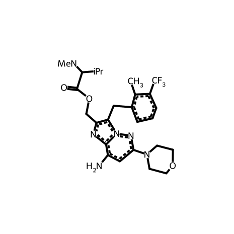 CNC(C(=O)OCc1nc2c(N)cc(N3CCOCC3)nn2c1Cc1cccc(C(F)(F)F)c1C)C(C)C